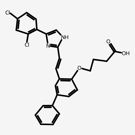 O=C(O)CCCOc1ccc(-c2ccccc2)cc1/C=C/c1nc(-c2ccc(Cl)cc2Cl)c[nH]1